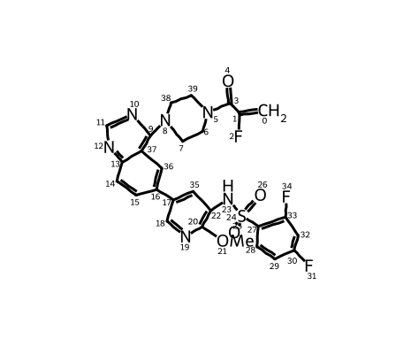 C=C(F)C(=O)N1CCN(c2ncnc3ccc(-c4cnc(OC)c(NS(=O)(=O)c5ccc(F)cc5F)c4)cc23)CC1